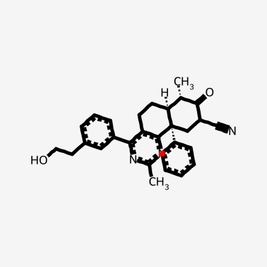 Cc1nc(-c2cccc(CCO)c2)c2c(n1)[C@]1(c3ccccc3)CC(C#N)C(=O)[C@@H](C)[C@@H]1CC2